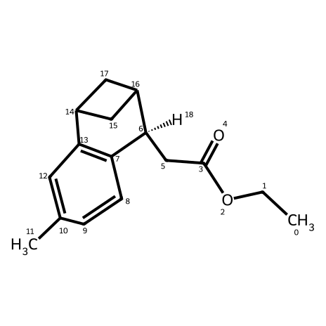 CCOC(=O)C[C@H]1c2ccc(C)cc2C2CC1C2